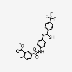 COC(=O)c1cc(S(=O)(=O)Nc2ccc(SC(S)c3ccc(C(F)(F)F)cc3)cc2)ccc1C